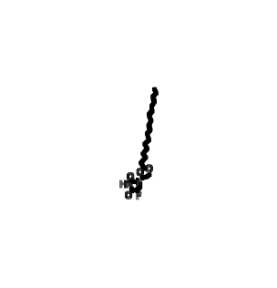 CCC=CCC=CCC=CCCCCCCCC(=O)OC(CC)n1cc(F)c(=O)[nH]c1=O